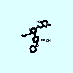 CCCCc1nnc(OCC2CN(C)CCC2O)cc1-c1ccc(OC2CCCCC2)cc1.Cl.Cl